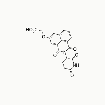 O=C(O)COc1cc2c3c(cccc3c1)C(=O)N(C1CCC(=O)NC1=O)C2=O